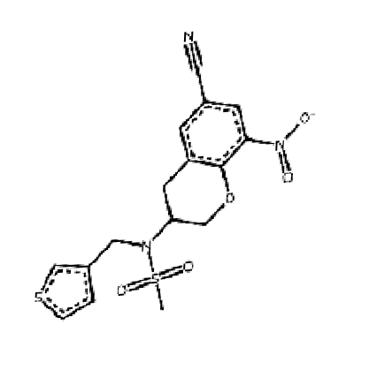 CS(=O)(=O)N(Cc1ccsc1)C1COc2c(cc(C#N)cc2[N+](=O)[O-])C1